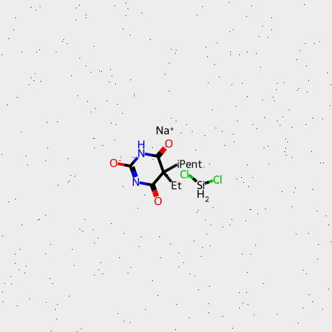 CCCC(C)C1(CC)C(=O)N=C([O-])NC1=O.Cl[SiH2]Cl.[Na+]